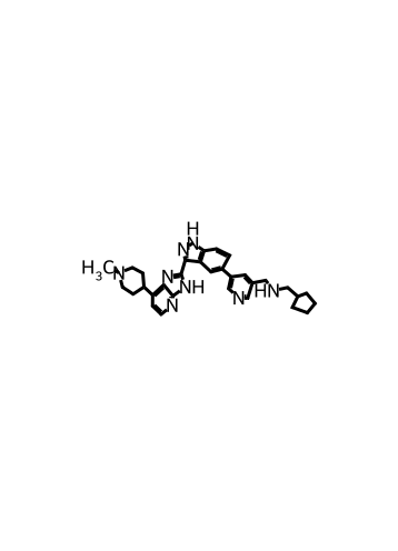 CN1CCC(c2ccnc3[nH]c(-c4n[nH]c5ccc(-c6cncc(CNCC7CCCC7)c6)cc45)nc23)CC1